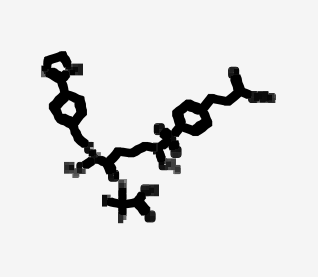 COC(=O)CCc1ccc(S(=O)(=O)N(C)CCCC(=O)N(C)CCc2ccc(C3=NCCN3)cc2)cc1.O=C(O)C(F)(F)F